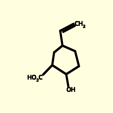 C=CC1CCC(O)C(C(=O)O)C1